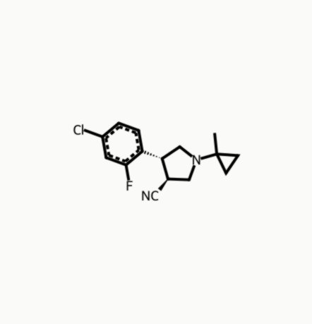 CC1(N2C[C@@H](C#N)[C@H](c3ccc(Cl)cc3F)C2)CC1